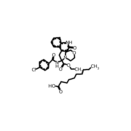 CCCCCCCCCC(=O)O.CCOC(=O)C(Cc1cc(=O)[nH]c2ccccc12)(NC(=O)c1ccc(Cl)cc1)N1CCOCC1